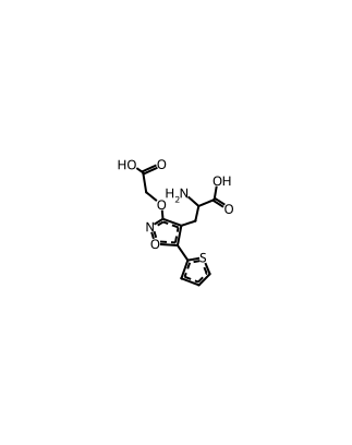 NC(Cc1c(OCC(=O)O)noc1-c1cccs1)C(=O)O